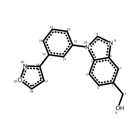 OCc1ccc2c(c1)ncn2-c1cccc(-c2ccon2)c1